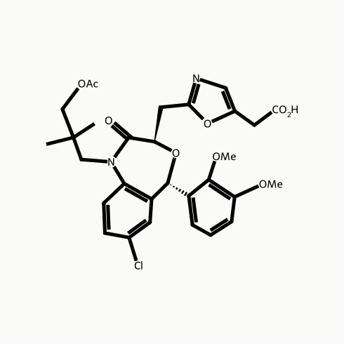 COc1cccc([C@H]2O[C@H](Cc3ncc(CC(=O)O)o3)C(=O)N(CC(C)(C)COC(C)=O)c3ccc(Cl)cc32)c1OC